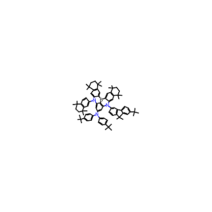 CC(C)(C)c1ccc(N(c2ccc(C(C)(C)C)cc2)c2cc3c4c(c2)N(c2ccc5c(c2)C(C)(C)CCC5(C)C)c2cc5c(cc2B4c2cc4c(cc2N3c2ccc3c(c2)-c2ccc(C(C)(C)C)cc2C3(C)C)C(C)(C)CCC4(C)C)C(C)(C)CCC5(C)C)cc1